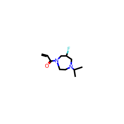 C=CC(=O)N1CCN(C(C)C)CC(F)C1